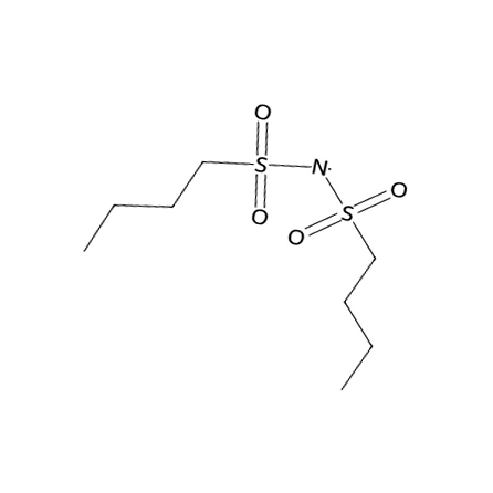 CCCCS(=O)(=O)[N]S(=O)(=O)CCCC